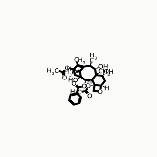 CC(=O)OC1C[C@@]2(O)[C@@H](OC(=O)c3ccccc3)[C@@H]3[C@]4(OC(C)=O)CO[C@@H]4C[C@H](O)[C@@]3(C)[C@@H](O)[C@H](C)C(=C1C)C2(C)C